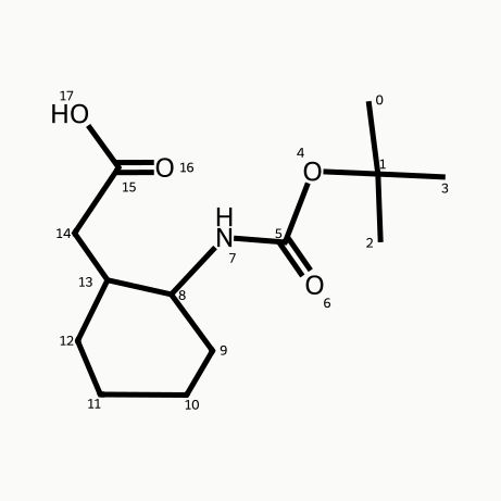 CC(C)(C)OC(=O)NC1CCCCC1CC(=O)O